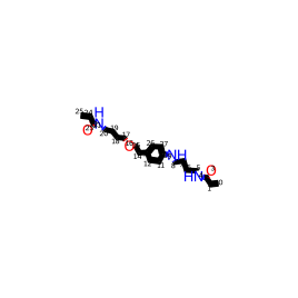 C=CC(=O)NCCCCNc1ccc(CCOCCCCNC(=O)C=C)cc1